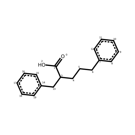 O=C(O)C(CCCc1ccccc1)Cc1ccccc1